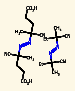 CC(C#N)(CCC(=O)O)N=NC(C)(C#N)CCC(=O)O.CCC(C)(C#N)N=NC(C)(C#N)CC